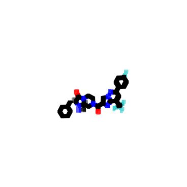 O=C(c1cn2nc(-c3ccc(F)cc3)cc(C(F)(F)F)c2n1)N1CCN2C(=O)[C@@H](CC3CCCCC3)N[C@H]2C1